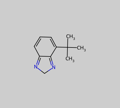 CC(C)(C)c1cccc2c1=NCN=2